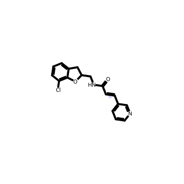 O=C(/C=C/c1cccnc1)NCC1Cc2cccc(Cl)c2O1